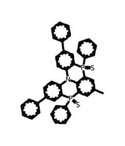 Cc1cc2c3c(c1)P(=S)(c1ccccc1)c1cc(-c4ccccc4)ccc1N3c1ccc(-c3ccccc3)cc1P2(=S)c1ccccc1